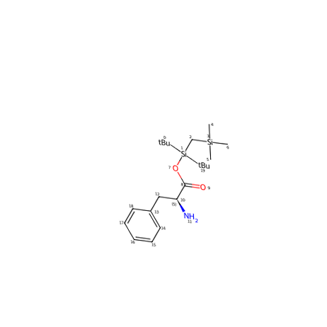 CC(C)(C)[Si](C[Si](C)(C)C)(OC(=O)[C@@H](N)Cc1ccccc1)C(C)(C)C